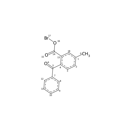 Cc1ccc(C(=O)c2ccccc2)c(C(=O)OBr)c1